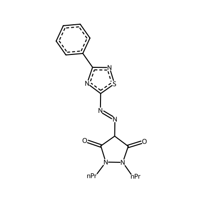 CCCN1C(=O)C(/N=N/c2nc(-c3ccccc3)ns2)C(=O)N1CCC